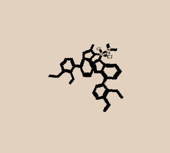 CCc1cccc(-c2cccc3c2C=C(C)[CH]3[Zr]([Cl])([Cl])([CH]2C(C)=Cc3c(-c4cccc(CC)c4CC)cccc32)[SiH](C)C)c1CC